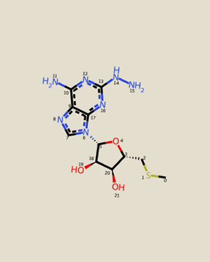 CSC[C@H]1O[C@@H](n2cnc3c(N)nc(NN)nc32)[C@H](O)[C@@H]1O